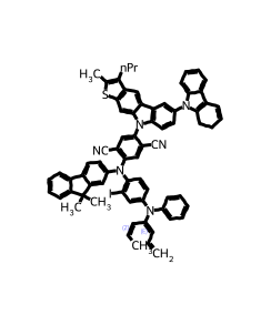 C=C/C=C(\C=C/C)N(c1ccccc1)c1ccc(N(c2ccc3c(c2)C(C)(C)c2ccccc2-3)c2cc(C#N)c(-n3c4ccc(-n5c6c(c7ccccc75)C=CCC6)cc4c4cc5c(CCC)c(C)sc5cc43)cc2C#N)c(I)c1